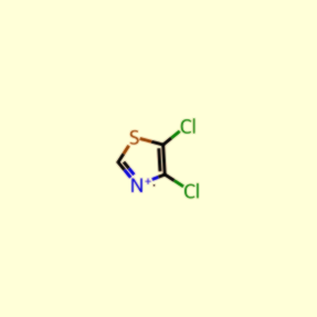 ClC1=C(Cl)SC=[N+]1